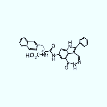 O=C(O)N[C@H](Cc1ccc2ccccc2c1)C(=O)Nc1cc2c3c(c(-c4ccccc4)[nH]c3c1)C=NNC2=O